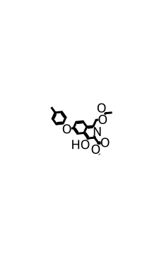 COC(=O)c1nc(COC(C)=O)c2ccc(Oc3ccc(C)cc3)cc2c1O